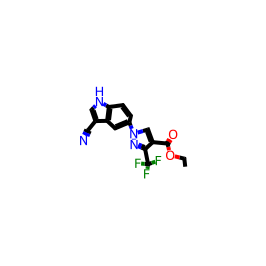 CCOC(=O)c1cn(-c2ccc3[nH]cc(C#N)c3c2)nc1C(F)(F)F